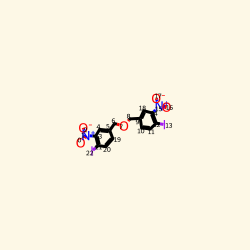 O=[N+]([O-])c1cc(COCc2ccc(I)c([N+](=O)[O-])c2)ccc1I